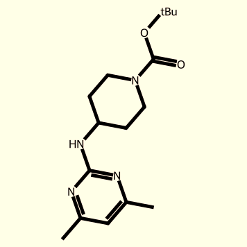 Cc1cc(C)nc(NC2CCN(C(=O)OC(C)(C)C)CC2)n1